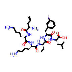 C=CC[C@H](N)C(=O)N[C@@H](CCCCN)C(=O)N[C@@H](CCCCN)C(=O)N[C@@H](CC)C(=O)N[C@@H](Cc1cccc(I)c1)C(=O)N[C@@H](CC(C)C)C(=O)O